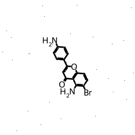 Nc1ccc(-c2cc(=O)c3c(N)c(Br)ccc3o2)cc1